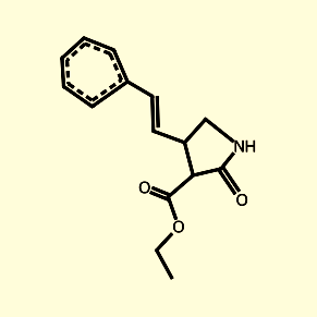 CCOC(=O)C1C(=O)NCC1C=Cc1ccccc1